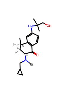 CCN(CC1CC1)[C@@H]1C(=O)c2ccc(NC(C)(C)CO)cc2[C@@](C)(CC)[C@H]1C